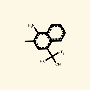 Cc1cc(C(O)(C(F)(F)F)C(F)(F)F)c2ccccc2c1N